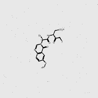 CCCSc1ccc2ncn([C@@H](CC)C(=O)NC(CC(=O)O)C(=O)CF)c(=O)c2c1